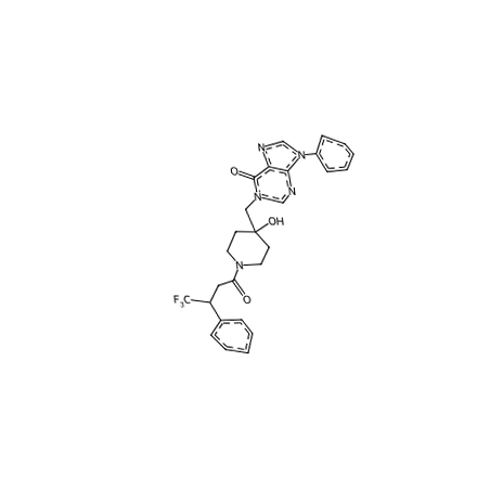 O=C(CC(c1ccccc1)C(F)(F)F)N1CCC(O)(Cn2cnc3c(ncn3-c3ccccc3)c2=O)CC1